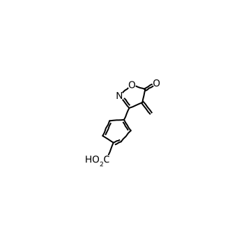 C=C1C(=O)ON=C1c1ccc(C(=O)O)cc1